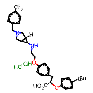 CC(C)(C)c1ccc(O[C@@H](Cc2ccc(OCCN[C@H]3C4CN(Cc5ccc(C(F)(F)F)cc5)C[C@@H]43)cc2)C(=O)O)cc1.Cl.Cl